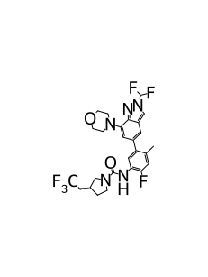 Cc1cc(F)c(NC(=O)N2CC[C@@H](CC(F)(F)F)C2)cc1-c1cc(N2CCOCC2)c2nn(C(F)F)cc2c1